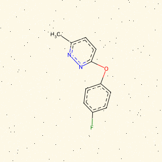 Cc1ccc(Oc2ccc(F)cc2)nn1